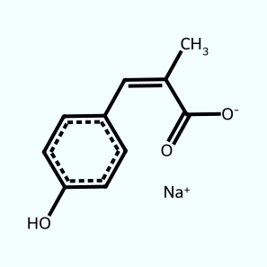 CC(=Cc1ccc(O)cc1)C(=O)[O-].[Na+]